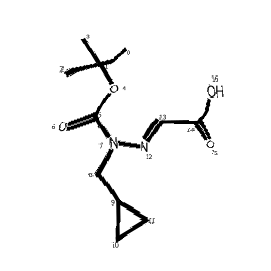 CC(C)(C)OC(=O)N(CC1CC1)/N=C/C(=O)O